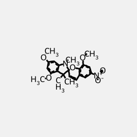 COc1cc(OC)c2c(c1)N(C)C1(C=Cc3cc([N+](=O)[O-])cc(OC)c3O1)C2(C)C